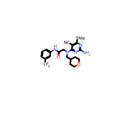 CSc1nc(N)nc(N(CC(=O)Nc2cccc(C(F)(F)F)c2)CC2CCOCC2)c1C#N